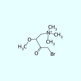 COC(C[N+](C)(C)C)C(=O)CBr